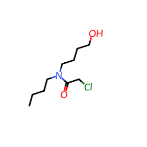 CCCCN(CCCCO)C(=O)CCl